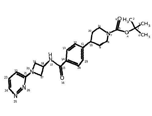 CC(C)(C)OC(=O)N1CCC(c2ccc(C(=O)NC3CN(c4cccnn4)C3)cc2)CC1